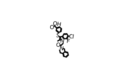 Cc1c(Sc2cccc(C(=O)O)c2)c2ccc(Cl)c(F)c2n1CC(=O)N1CCc2ccccc2C1